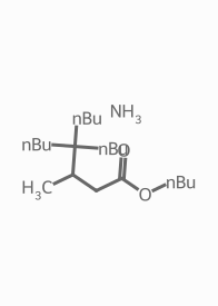 CCCCOC(=O)CC(C)C(CCCC)(CCCC)CCCC.N